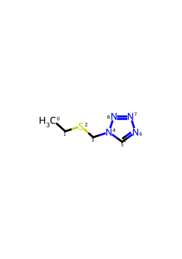 CCSCn1[c]nnn1